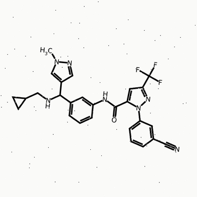 Cn1cc(C(NCC2CC2)c2cccc(NC(=O)c3cc(C(F)(F)F)nn3-c3cccc(C#N)c3)c2)cn1